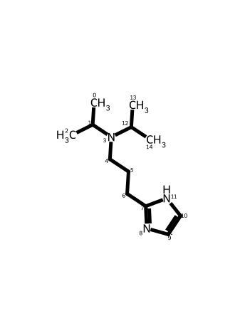 CC(C)N(CCCc1n[c]c[nH]1)C(C)C